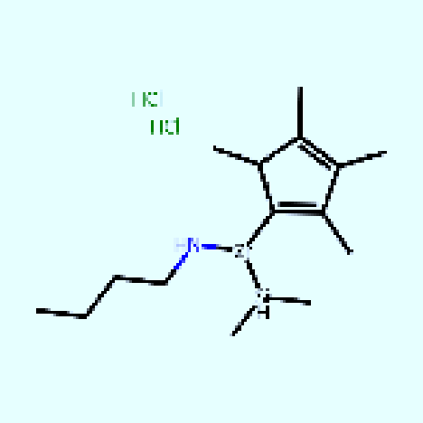 CCCC[NH][Zr]([C]1=C(C)C(C)=C(C)C1C)[SiH](C)C.Cl.Cl